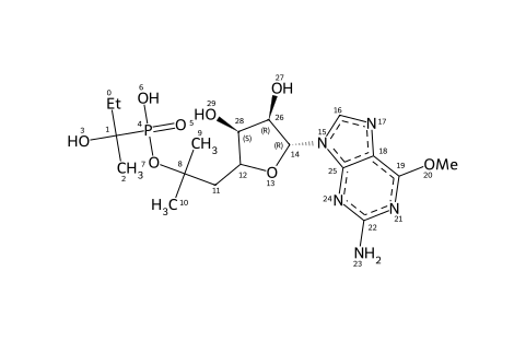 CCC(C)(O)P(=O)(O)OC(C)(C)CC1O[C@@H](n2cnc3c(OC)nc(N)nc32)[C@H](O)[C@@H]1O